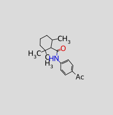 CC(=O)c1ccc(NC(=O)C2C(C)CCCC2(C)C)cc1